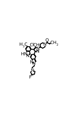 C=CC(=O)N1CCC(n2nc(-c3ccc4nn(CCN5CC[C@H](F)C5)cc4c3)c(-c3c(Cl)c(C)cc4[nH]ncc34)c2C)CC1